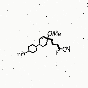 CCCC1CCC(C2CCC(C=CC=C(F)C#N)(OC)CC2)CC1